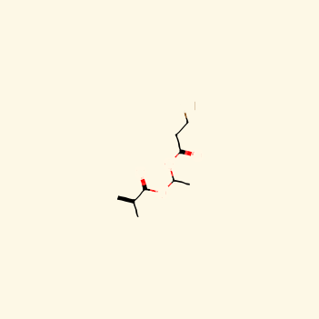 C=C(C)C(=O)OC(C)OC(=O)CCS